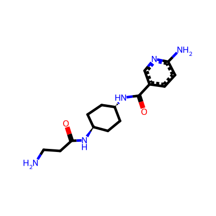 NCCC(=O)N[C@H]1CC[C@H](NC(=O)c2ccc(N)nc2)CC1